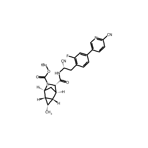 C[C@H]1[C@H]2[C@H]3C[C@@H]([C@@H]12)N(C(=O)OC(C)(C)C)[C@@H]3C(=O)N[C@H](C#N)Cc1ccc(-c2ccc(C#N)nc2)cc1F